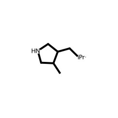 C[C](C)CC1CNCC1C